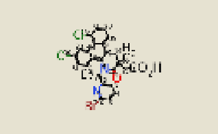 CC[C@@H](c1cccc(Br)n1)N1C(=O)[C@@](C)(CC(=O)O)C[C@H](c2cccc(Cl)c2)[C@H]1c1ccc(Cl)cc1